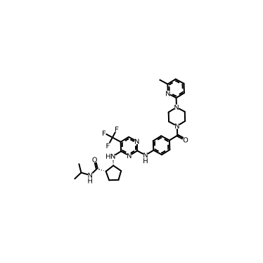 Cc1cccc(N2CCN(C(=O)c3ccc(Nc4ncc(C(F)(F)F)c(N[C@@H]5CCC[C@@H]5C(=O)NC(C)C)n4)cc3)CC2)n1